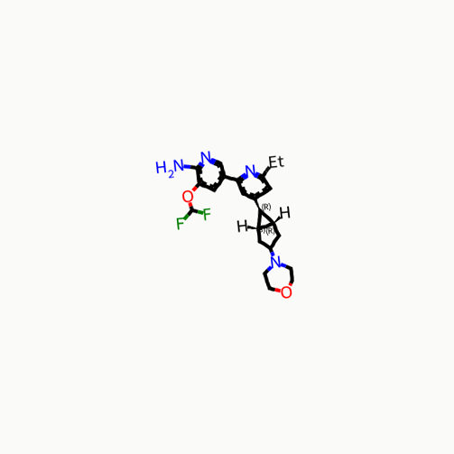 CCc1cc([C@H]2[C@@H]3CC(N4CCOCC4)C[C@@H]32)cc(-c2cnc(N)c(OC(F)F)c2)n1